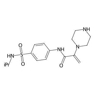 C=C(C(=O)Nc1ccc(S(=O)(=O)NC(C)C)cc1)N1CCNCC1